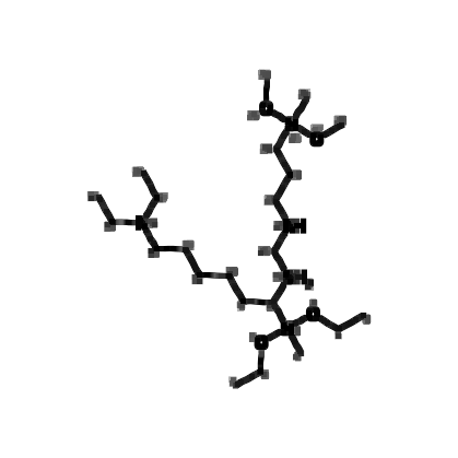 CCO[Si](C)(OCC)C(CCCCCN(CC)CC)[SiH2]CNCCC[Si](C)(OC)OC